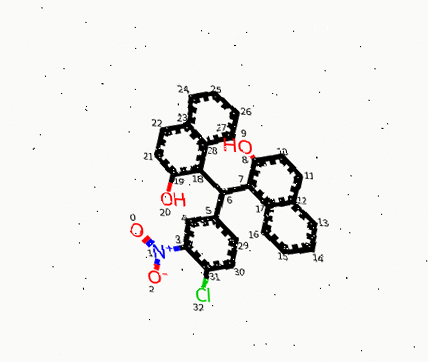 O=[N+]([O-])c1cc(C(c2c(O)ccc3ccccc23)c2c(O)ccc3ccccc23)ccc1Cl